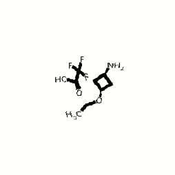 CCO[C@H]1C[C@@H](N)C1.O=C(O)C(F)(F)F